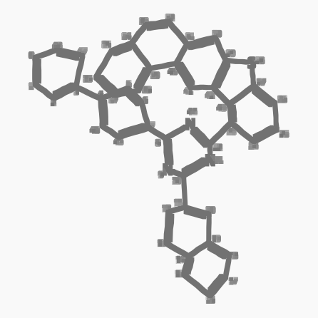 c1ccc(-c2ccc(-c3nc(-c4ccc5ccccc5c4)nc(-c4cccc5sc6cc7ccc8ccccc8c7cc6c45)n3)cc2)cc1